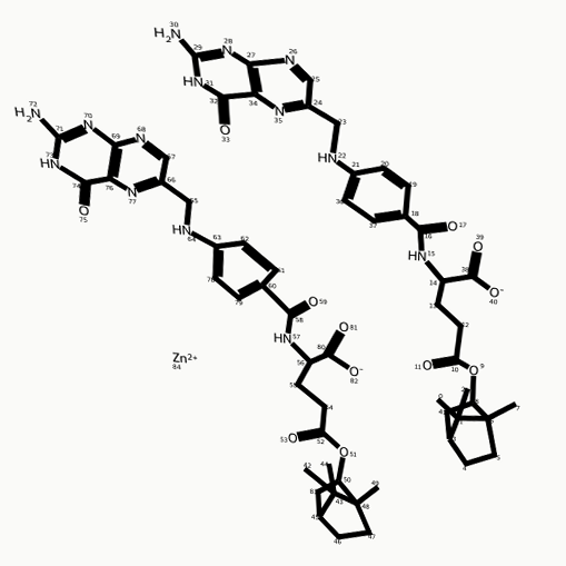 CC1(C)C2CCC1(C)C(OC(=O)CCC(NC(=O)c1ccc(NCc3cnc4nc(N)[nH]c(=O)c4n3)cc1)C(=O)[O-])C2.CC1(C)C2CCC1(C)C(OC(=O)CCC(NC(=O)c1ccc(NCc3cnc4nc(N)[nH]c(=O)c4n3)cc1)C(=O)[O-])C2.[Zn+2]